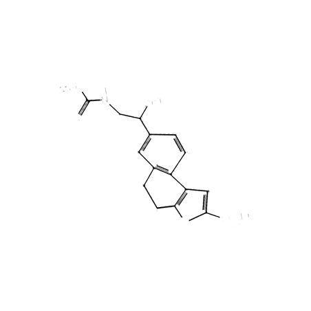 CCCC(CNC(=O)OC)c1ccc2c(c1)CCc1sc(C(=O)OCC)cc1-2